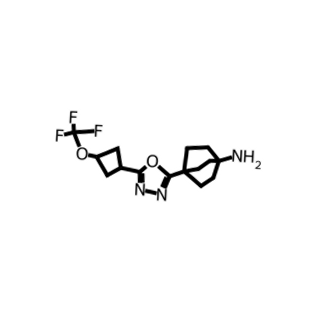 NC12CCC(c3nnc(C4CC(OC(F)(F)F)C4)o3)(CC1)CC2